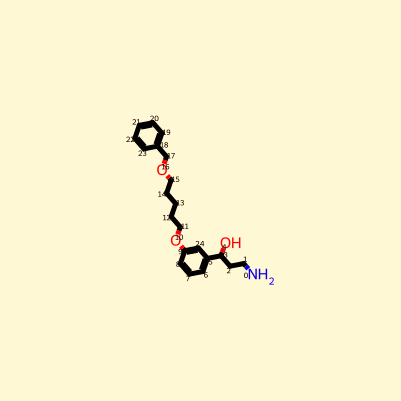 NCCC(O)c1cccc(OCCCCCOCc2ccccc2)c1